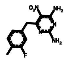 Cc1ccc(Cc2nc(N)nc(N)c2[N+](=O)[O-])cc1F